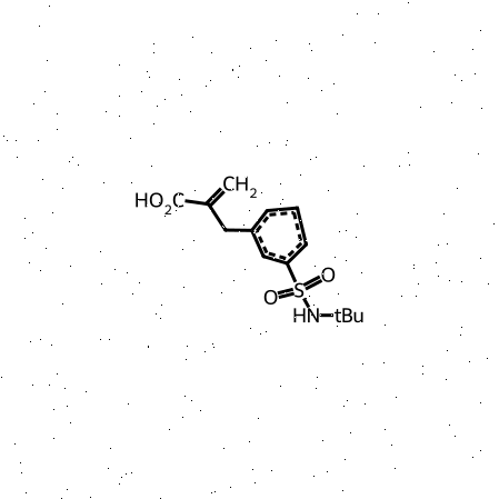 C=C(Cc1cccc(S(=O)(=O)NC(C)(C)C)c1)C(=O)O